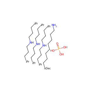 CC(C)CCCNCCCC(C)C.CC(C)CCCNCCCC(C)C.CC(C)CCCNCCCC(C)C.CCCCCCCCCCCCCCCCCCN.O=P(O)(O)O